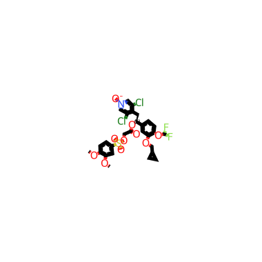 COc1ccc(S(=O)(=O)OCC(=O)O[C@@H](Cc2c(Cl)c[n+]([O-])cc2Cl)c2ccc(OC(F)F)c(OCC3CC3)c2)cc1OC